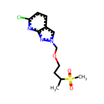 CC(CCOCn1cc2ccc(Cl)nc2n1)S(C)(=O)=O